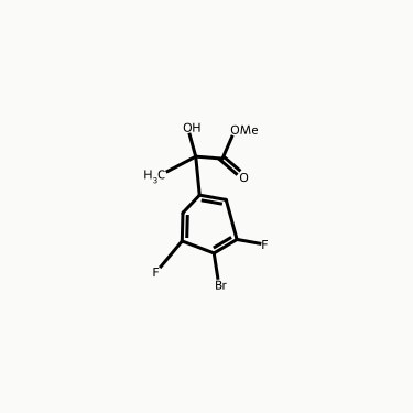 COC(=O)C(C)(O)c1cc(F)c(Br)c(F)c1